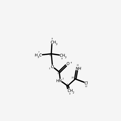 C=C(NC(=O)OC(C)(C)C)C(=N)Cl